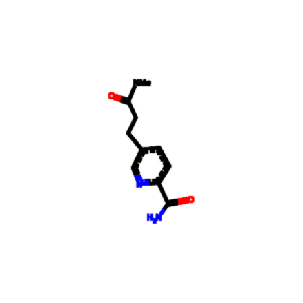 CNC(=O)CCc1ccc(C(N)=O)nc1